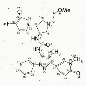 COCCN1C[C@@H](NC(=O)Nc2c(C)c(-c3ccc(=O)n(C)c3)nn2-c2ccccc2)[C@H](c2ccc(F)c(Cl)c2)C1